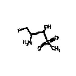 CS(=O)(=O)C(O)C(N)CF